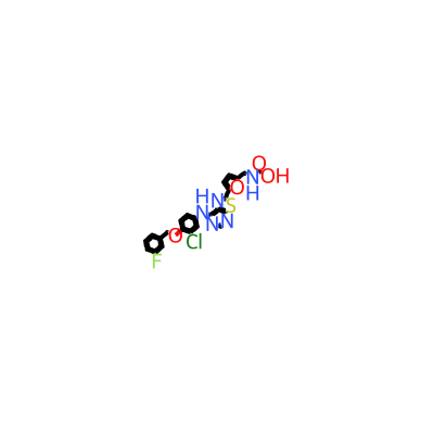 O=C(O)NCc1ccc(-c2nc3c(Nc4ccc(OCc5cccc(F)c5)c(Cl)c4)ncnc3s2)o1